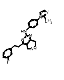 Cc1nccn1-c1ccc(Nc2nc3c(c(CCc4cccc(F)c4)n2)CNCC3)cc1